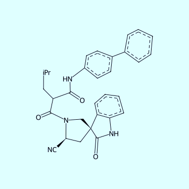 CC(C)CC(C(=O)Nc1ccc(-c2ccccc2)cc1)C(=O)N1C[C@]2(C[C@H]1C#N)C(=O)Nc1ccccc12